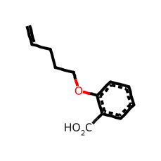 C=CCCCOc1ccccc1C(=O)O